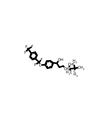 CC(C)(C)[Si](C)(C)OCCC(O)c1ccc(OC(F)(F)c2ccc(C(F)(F)F)cc2)cc1